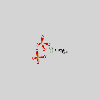 Cl.O=P([O-])([O-])[O-].O=P([O-])([O-])[O-].[Ca+2].[Ca+2].[Ca+2]